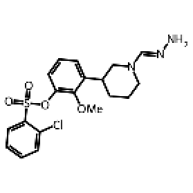 COc1c(OS(=O)(=O)c2ccccc2Cl)cccc1C1CCCN(C=NN)C1